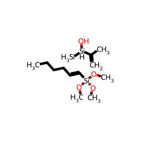 C=C(C)[SiH](O)[SiH3].CCCCC=C[Si](OC)(OC)OC